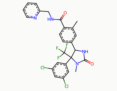 Cc1cc(C2NC(=O)N(C)C2(c2cc(Cl)cc(Cl)c2)C(F)(F)F)ccc1C(=O)NCc1ccccn1